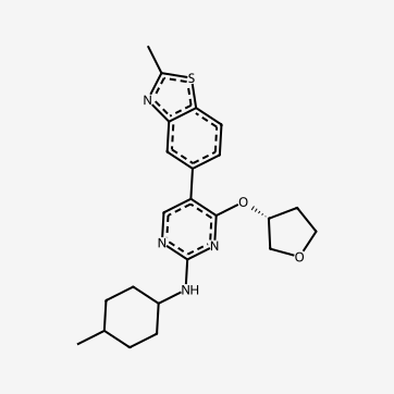 Cc1nc2cc(-c3cnc(NC4CCC(C)CC4)nc3O[C@@H]3CCOC3)ccc2s1